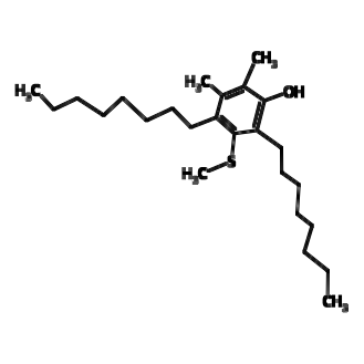 CCCCCCCCc1c(C)c(C)c(O)c(CCCCCCCC)c1SC